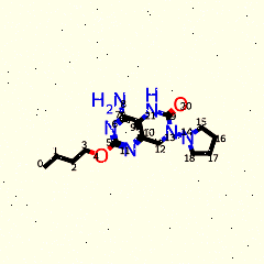 CCCCOc1nc(N)c2c(n1)CN(N1CCCC1)C(=O)N2